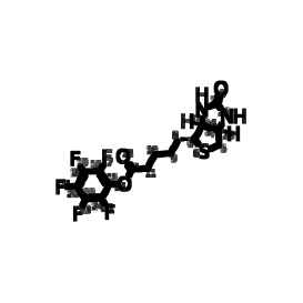 O=C1N[C@H]2[C@H](CS[C@@H]2CCCCC(=O)Oc2c(F)c(F)c(F)c(F)c2F)N1